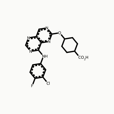 O=C(O)C1CCC(Oc2ncc3ncnc(Nc4ccc(F)c(Cl)c4)c3n2)CC1